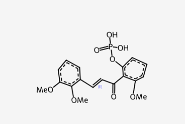 COc1cccc(/C=C/C(=O)c2c(OC)cccc2OP(=O)(O)O)c1OC